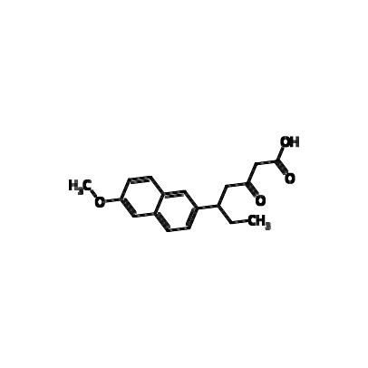 CCC(CC(=O)CC(=O)O)c1ccc2cc(OC)ccc2c1